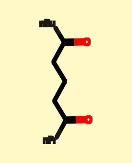 CCCCC(=O)CCCC(=O)CCC